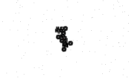 CC1(C)c2ccccc2-c2cc3c4ccccc4n(-c4ccccc4-c4ccc(C5N=C(c6ccccc6)N=C(c6ccccc6)N5)cc4)c3cc21